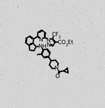 CCOC(=O)c1cnn(-c2cccc(-c3cccc4c3C(Nc3ccc(C5CCN(C(=O)C6CC6)CC5)cc3C)CC4)n2)c1C(F)(F)F